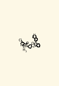 Cc1ncc(Cl)cc1C(=O)N[C@H]1CC[C@H](Cn2c(=O)n(-c3ccc4cnccc4c3)c3ccccc32)CC1